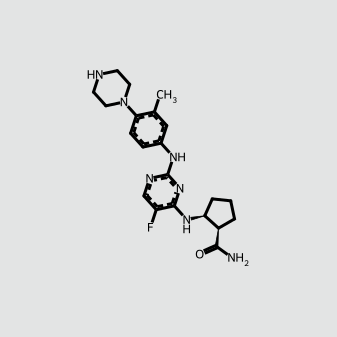 Cc1cc(Nc2ncc(F)c(N[C@H]3CCC[C@H]3C(N)=O)n2)ccc1N1CCNCC1